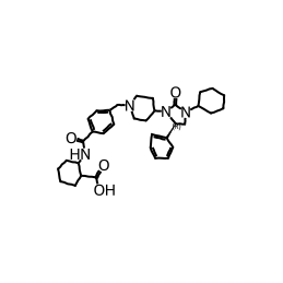 O=C(NC1CCCCC1C(=O)O)c1ccc(CN2CCC(N3C(=O)N(C4CCCCC4)C[C@H]3c3ccccc3)CC2)cc1